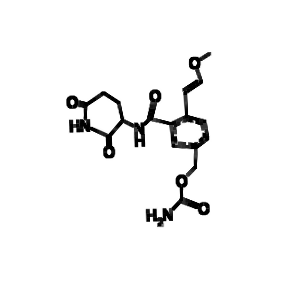 CO/C=C/c1ccc(COC(N)=O)cc1C(=O)NC1CCC(=O)NC1=O